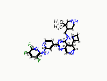 CC1(C)CNCCC1CNc1nc(-c2ccnc(Nc3nc(F)c(F)cc3F)c2)nc2cncc(C3CCC3)c12